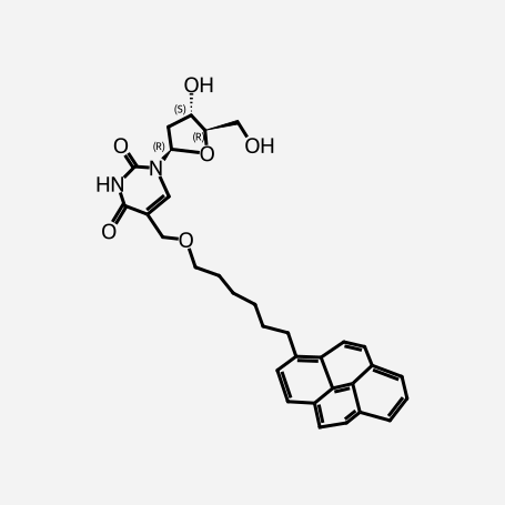 O=c1[nH]c(=O)n([C@H]2C[C@H](O)[C@@H](CO)O2)cc1COCCCCCCc1ccc2ccc3cccc4ccc1c2c34